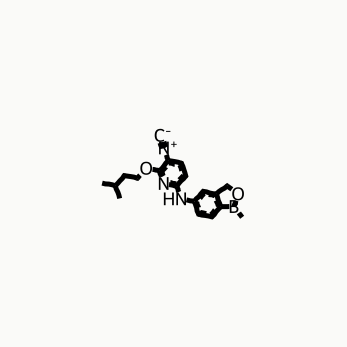 [C-]#[N+]c1ccc(Nc2ccc3c(c2)COB3C)nc1OCCC(C)C